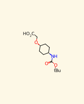 CC(C)(C)OC(=O)N[C@H]1CC[C@@H](OCC(=O)O)CC1